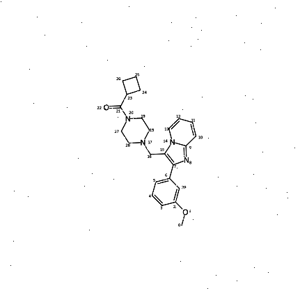 COc1cccc(-c2nc3ccccn3c2CN2CCN(C(=O)C3CCC3)CC2)c1